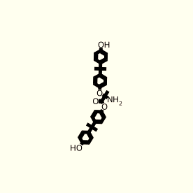 CC(N)(Oc1ccc(C(C)(C)c2ccc(O)cc2)cc1)C(=O)Oc1ccc(C(C)(C)c2ccc(O)cc2)cc1